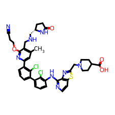 Cc1cc(-c2cccc(-c3cccc(Nc4nccc5sc(CN6CCC(C(=O)O)CC6)nc45)c3Cl)c2Cl)nc(OCCC#N)c1CNC[C@@H]1CCC(=O)N1